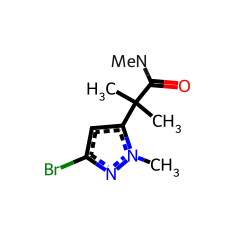 CNC(=O)C(C)(C)c1cc(Br)nn1C